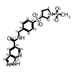 CS(=O)(=O)N1CCC(S(=O)(=O)c2ccc(CNC(=O)c3cnc4[nH]ncc4c3)cc2)C1